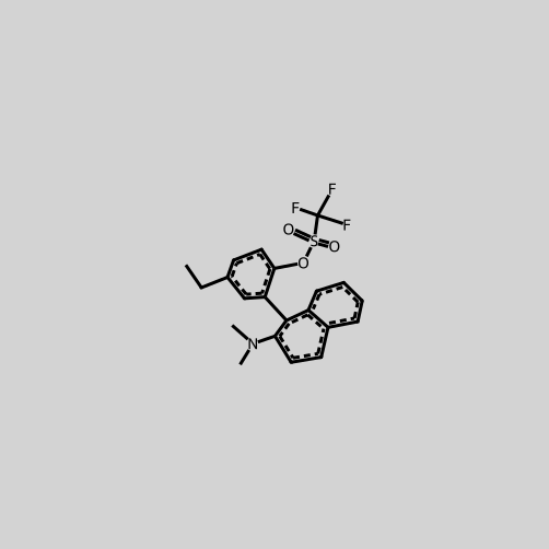 CCc1ccc(OS(=O)(=O)C(F)(F)F)c(-c2c(N(C)C)ccc3ccccc23)c1